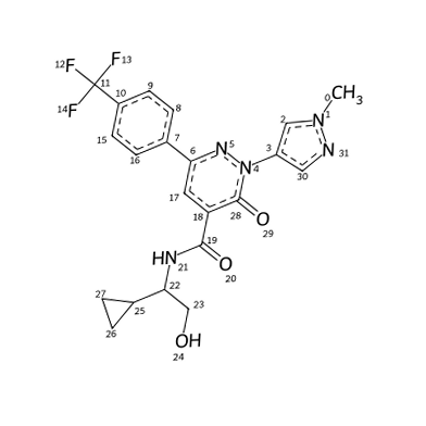 Cn1cc(-n2nc(-c3ccc(C(F)(F)F)cc3)cc(C(=O)NC(CO)C3CC3)c2=O)cn1